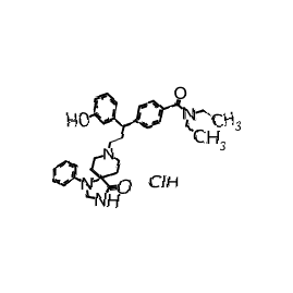 CCN(CC)C(=O)c1ccc(C(CCN2CCC3(CC2)C(=O)NCN3c2ccccc2)c2cccc(O)c2)cc1.Cl